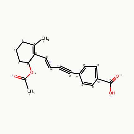 CC(=O)OC1CCCC(C)=C1/C=C/C#Cc1ccc(C(=O)O)cc1